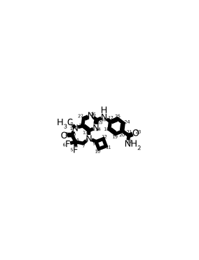 CN1C(=O)C(F)(F)CN(C2CCC2)c2nc(Nc3ccc(C(N)=O)cc3)ncc21